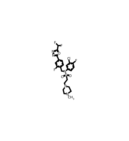 CN1CCN(CCS(=O)(=O)N(Cc2ccc(-c3nnc(C(F)F)o3)cc2F)c2ccc(F)c(Cl)c2)CC1